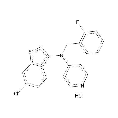 Cl.Fc1ccccc1CN(c1ccncc1)c1csc2cc(Cl)ccc12